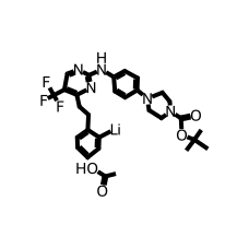 CC(=O)O.[Li][c]1ccccc1CCc1nc(Nc2ccc(N3CCN(C(=O)OC(C)(C)C)CC3)cc2)ncc1C(F)(F)F